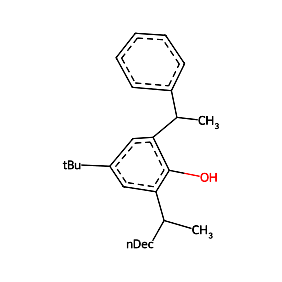 CCCCCCCCCCC(C)c1cc(C(C)(C)C)cc(C(C)c2ccccc2)c1O